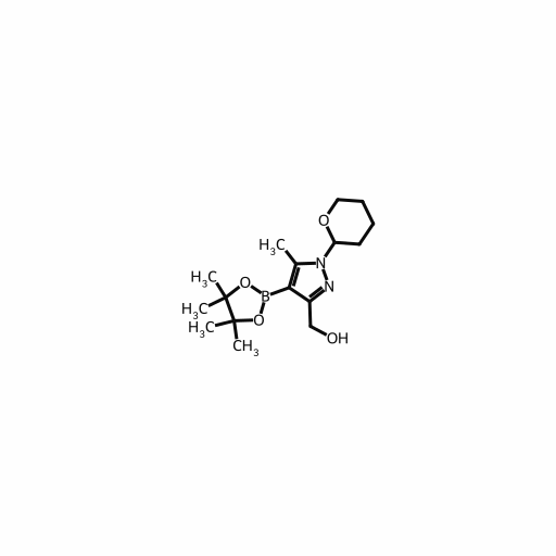 Cc1c(B2OC(C)(C)C(C)(C)O2)c(CO)nn1C1CCCCO1